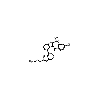 CCCCc1cc2cccc(-c3cccc4oc(C(=O)O)c(C(=O)c5ccc(Cl)cc5)c34)c2o1